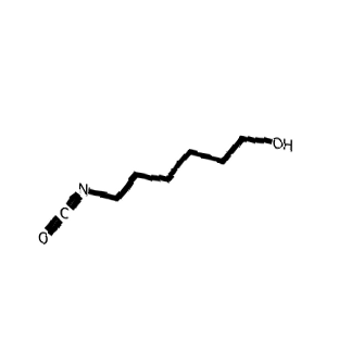 O=C=NCCCCCCO